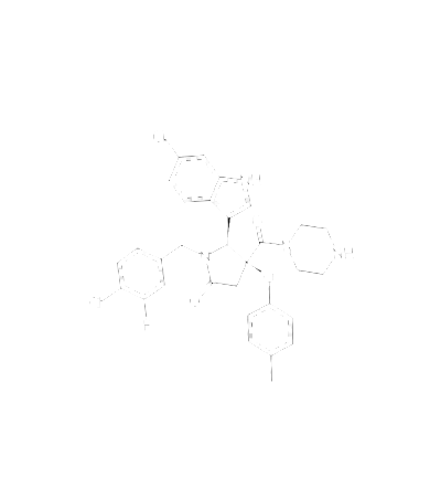 Cc1ccc(O[C@@]2(C(=O)N3CCNCC3)CC(=O)N(Cc3ccc(Cl)c(F)c3)[C@H]2c2c[nH]c3cc(Cl)ccc23)cc1